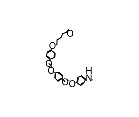 CNc1ccc(OCOc2ccc(OCOc3ccc(OCCCCC4CO4)cc3)cc2)cc1